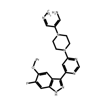 C/N=C\C(=C/N)N1CCN(c2cc(-c3n[nH]c4cc(F)c(OC(C)C)cc34)ncn2)CC1